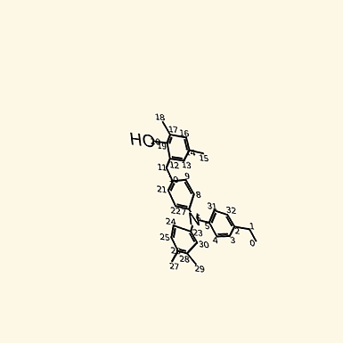 CCc1ccc(N(c2ccc(Cc3cc(C)cc(C)c3O)cc2)c2ccc(C)c(C)c2)cc1